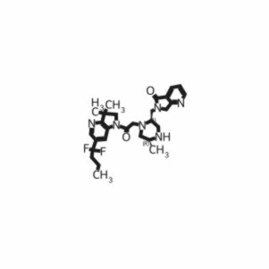 CCCC(F)(F)c1cnc2c(c1)N(C(=O)CN1C[C@@H](C)NC[C@@H]1CN1Cc3ncccc3C1=O)CC2(C)C